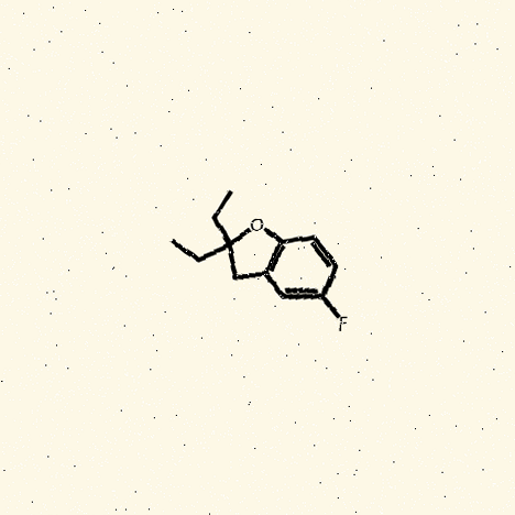 CCC1(CC)Cc2cc(F)ccc2O1